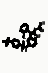 CC(C)(C)c1ccc(S(=O)(=O)Nc2ccc3[nH]c(OC(=O)O)c(-c4ccccc4Cl)c3c2)cc1